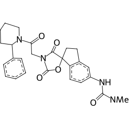 CNC(=O)Nc1ccc2c(c1)CCC21OC(=O)N(CC(=O)N2CCCCC2c2ccccc2)C1=O